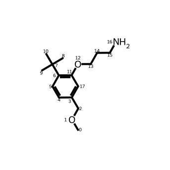 COCc1ccc(C(C)(C)C)c(OCCCN)c1